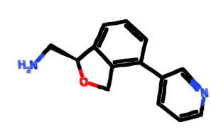 NC[C@@H]1OCc2c(-c3cccnc3)cccc21